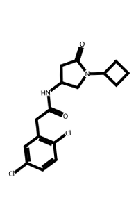 O=C(Cc1cc(Cl)ccc1Cl)NC1CC(=O)N(C2CCC2)C1